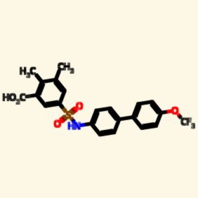 Cc1cc(S(=O)(=O)Nc2ccc(-c3ccc(OC(F)(F)F)cc3)cc2)cc(C(=O)O)c1C